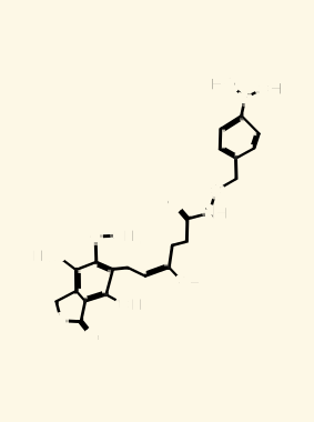 COc1c(C)c2c(c(O)c1CC=C(C)CCC(=O)NOCc1ccc(B(O)O)cc1)C(=O)OC2